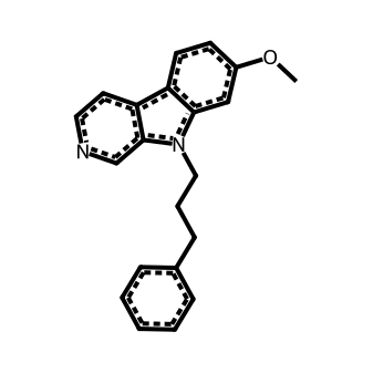 COc1ccc2c3ccncc3n(CCCc3ccccc3)c2c1